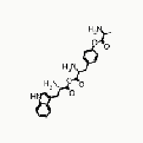 C[C@H](N)C(=O)Oc1ccc(C[C@H](N)C(=O)OC(=O)[C@@H](N)Cc2c[nH]c3ccccc23)cc1